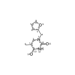 Cc1cn(Cc2ccco2)c(=O)[nH]c1=O